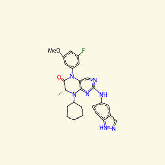 COc1cc(F)cc(N2C(=O)[C@@H](C)N(C3CCCCC3)c3nc(Nc4ccc5[nH]ncc5c4)ncc32)c1